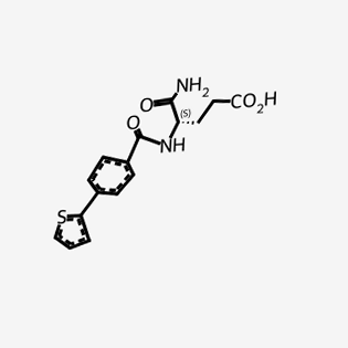 NC(=O)[C@H](CCC(=O)O)NC(=O)c1ccc(-c2cccs2)cc1